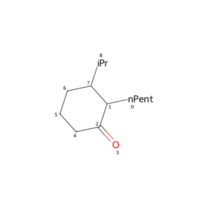 CCCCCC1C(=O)CCCC1C(C)C